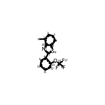 Cc1cccc2sc(-c3ccccc3OC(F)(F)F)nc12